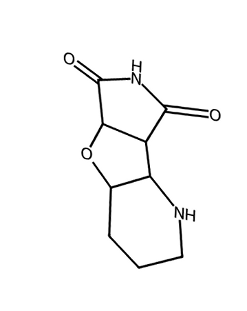 O=C1NC(=O)C2C1OC1CCCNC12